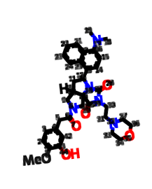 COc1ccc(CC(=O)N2C[C@@H]3C[C@@H](c4ccc(N(C)C)c5ccccc45)N4C(=O)N(CCN5CCOCC5)C(=O)C34C2)cc1O